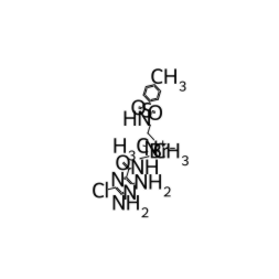 Cc1ccc(S(=O)(=O)NCCC[N+](C)(C)CCNC(=O)c2nc(Cl)c(N)nc2N)cc1.[Br-]